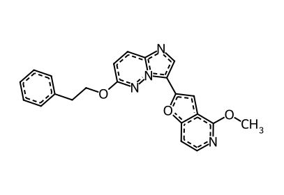 COc1nccc2oc(-c3cnc4ccc(OCCc5ccccc5)nn34)cc12